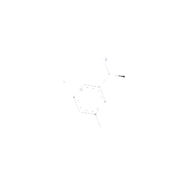 Cc1cccc([C@H](C)N)c1.Cl